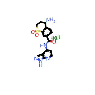 Cl.Cl.N[C@H]1CCS(=O)(=O)c2cc(C(=O)Nc3ccnc4[nH]ncc34)ccc21